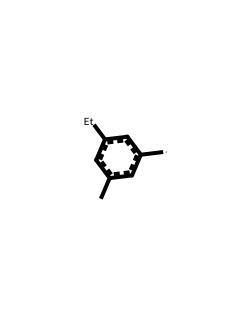 [CH2]c1cc(C)cc(CC)c1